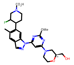 COc1nc(N2CCO[C@H](CO)C2)cc(-n2ncc3cc(C)c(C4CCN(C(=O)O)CC4F)cc32)n1